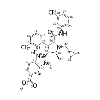 COC(=O)c1ccc2nc([C@H]3C(c4cccc(Cl)c4F)C(C(=O)Nc4cccc(Cl)c4)N(CC4CC4)[C@H]3C)n(C)c2c1